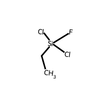 CC[Si](F)(Cl)Cl